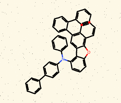 c1ccc(-c2ccc(N(c3ccccc3)c3cccc4oc5c6ccccc6c(-c6ccccc6-c6ccccc6)cc5c34)cc2)cc1